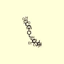 CCc1c(CNCC2CCN(c3nccc(C=C4SC(=O)NC4=O)n3)CC2)cnc(-c2c(C)noc2C)c1C(=O)O